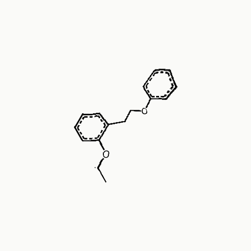 C[CH]Oc1ccccc1CCOc1ccccc1